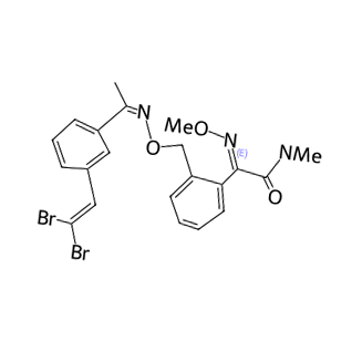 CNC(=O)/C(=N/OC)c1ccccc1CON=C(C)c1cccc(C=C(Br)Br)c1